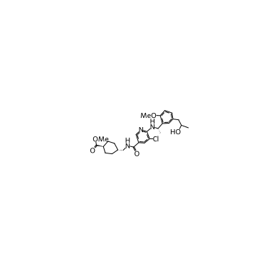 COc1ccc(CC(C)O)cc1[C@H](C)Nc1ncc(C(=O)NC[C@H]2CC[C@H](C(=O)OC)CC2)cc1Cl